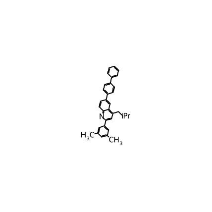 Cc1cc(C)cc(-c2cc(CC(C)C)c3cc(-c4ccc(-c5ccccc5)cc4)ccc3n2)c1